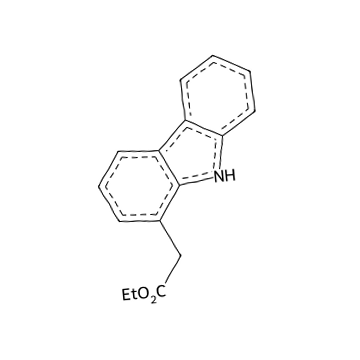 CCOC(=O)Cc1cccc2c1[nH]c1ccccc12